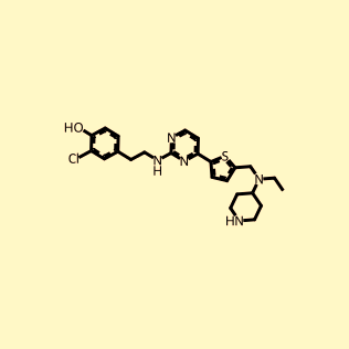 CCN(Cc1ccc(-c2ccnc(NCCc3ccc(O)c(Cl)c3)n2)s1)C1CCNCC1